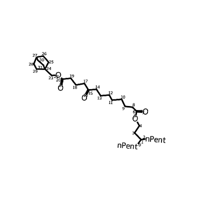 CCCCCC(CCCCC)CCOC(=O)CCCCCCCC(=O)CCCC(=O)OCC12CCC(CC1)CC2